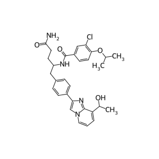 CC(C)Oc1ccc(C(=O)NC(CCC(N)=O)Cc2ccc(-c3cn4cccc(C(C)O)c4n3)cc2)cc1Cl